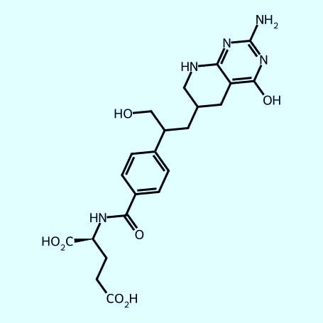 Nc1nc(O)c2c(n1)NCC(CC(CO)c1ccc(C(=O)N[C@@H](CCC(=O)O)C(=O)O)cc1)C2